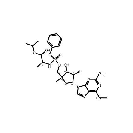 CNc1nc(N)nc2c1ncn2[C@@H]1O[C@](C)(COP(=O)(N[C@@H](C)C(O)OC(C)C)Oc2ccccc2)[C@@H](O)[C@H]1F